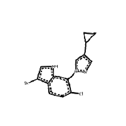 Clc1ccc2c(Br)c[nH]c2c1-n1cc(C2CC2)cn1